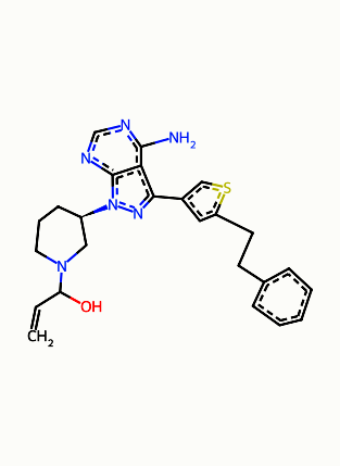 C=CC(O)N1CCC[C@@H](n2nc(-c3csc(CCc4ccccc4)c3)c3c(N)ncnc32)C1